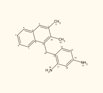 Cc1cc2ccccc2c(Cc2ccc(N)cc2N)c1C